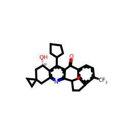 O=C(c1ccc(C(F)(F)F)cc1)c1c(C2CCCC2)nc2c(c1C1CCCC1)[C@@H](O)CC1(CC1)C2